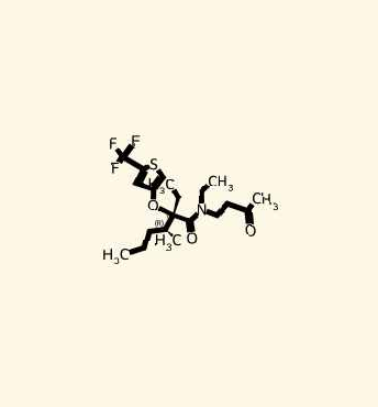 CCC[C@@H](C)[C@](CC)(Oc1csc(C(F)(F)F)c1)C(=O)N(CC)CCC(C)=O